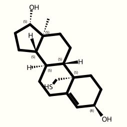 C[C@]12CC[C@H]3[C@@H](CCC4=C[C@H](O)CC[C@@]43CS)[C@@H]1CC[C@@H]2O